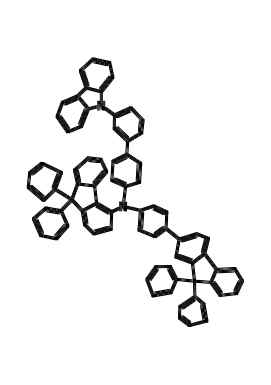 c1ccc(C2(c3ccccc3)c3ccccc3-c3ccc(-c4ccc(N(c5ccc(-c6cccc(-n7c8ccccc8c8ccccc87)c6)cc5)c5cccc6c5-c5ccccc5C6(c5ccccc5)c5ccccc5)cc4)cc32)cc1